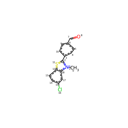 C[n+]1c(-c2ccc(C=O)cc2)sc2ccc(Cl)cc21